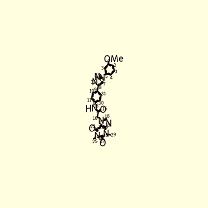 COc1cccc(-n2cc(-c3ccc(NC(=O)Cn4cnc5c4c(=O)n(C)c(=O)n5C)cc3)nn2)c1